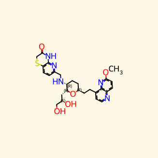 COc1ccc2nccc(CC[C@@H]3CC[C@@H](NCc4ccc5c(n4)NC(=O)CS5)[C@@H](C[C@H](O)CO)O3)c2n1